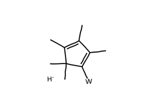 CC1=C(C)C(C)(C)[C]([W])=C1C.[H-]